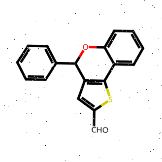 O=Cc1cc2c(s1)-c1ccccc1OC2c1ccccc1